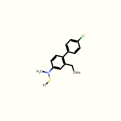 CCSN(C)c1ccc(-c2ccc(Cl)cc2)c(COC)c1